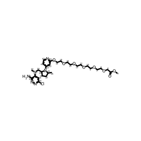 COC(=O)COCCOCCOCCOCCOCCOc1cc(N2C(C)CCC2CN(C)c2cc(Cl)nnc2N)ccn1